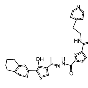 C=C(NCCc1ccncc1)c1ccc(C(=O)N/N=C(\C)c2csc(-c3ccc4c(c3)CCCC4)c2O)s1